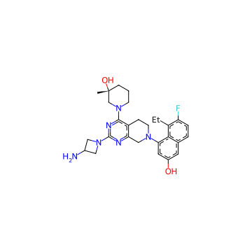 CCc1c(F)ccc2cc(O)cc(N3CCc4c(nc(N5CC(N)C5)nc4N4CCC[C@@](C)(O)C4)C3)c12